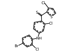 S=C(c1ccc(Nc2ccc(Br)cc2Cl)cc1Cl)c1sccc1Cl